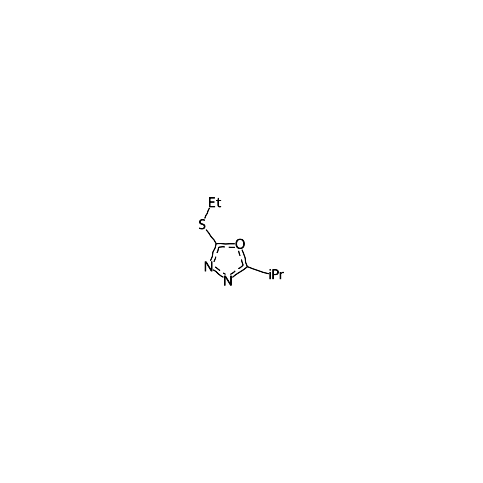 CCSc1nnc(C(C)C)o1